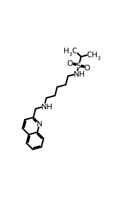 CC(C)S(=O)(=O)NCCCCCNCc1ccc2ccccc2n1